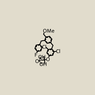 COCc1ccc(Cc2c(Cl)cc(OC(C)(C)P(=O)(O)O)cc2Cl)cc1Cc1ccc(F)cc1